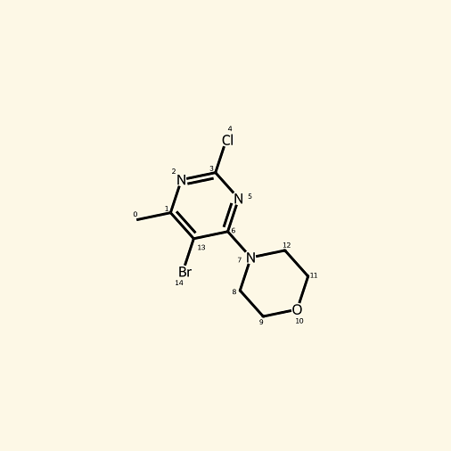 Cc1nc(Cl)nc(N2CCOCC2)c1Br